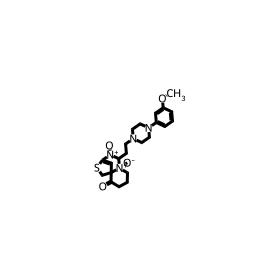 COc1cccc(N2CCN(CCC3[N+](=O)C4=CC5(CS4)C(=O)CCC[N+]35[O-])CC2)c1